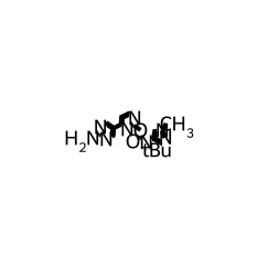 Cn1cc(N(C(=O)Oc2nccc(-c3cnc(N)nc3)n2)C(C)(C)C)cn1